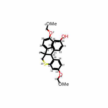 COCOc1ccc(C2(C)CSc3cc(OCOC)ccc3C2c2ccc(O)cc2)cc1